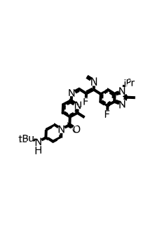 C=N/C(=C(F)\C=N/c1ccc(C(=O)N2CCC(NC(C)(C)C)CC2)c(C)n1)c1cc(F)c2nc(C)n(C(C)C)c2c1